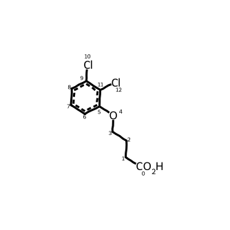 O=C(O)CCCOc1cccc(Cl)c1Cl